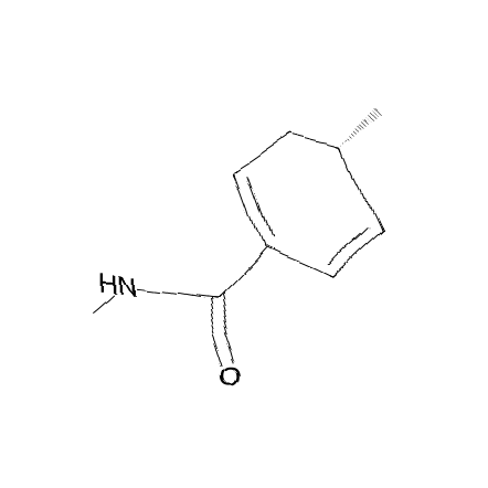 CNC(=O)C1=CC[C@H](C)C=C1